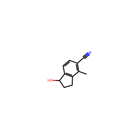 Cc1c(C#N)ccc2c1CCC2O